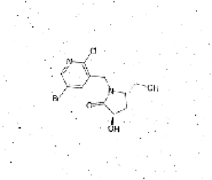 O=C1[C@H](O)C[C@@H](CO)N1Cc1cc(Br)cnc1Cl